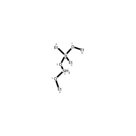 CCO[SiH2]O[Si](CC)(CC)OCC